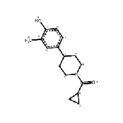 O=C(C1CC1)N1CCC(c2ccc(O)c(C(F)(F)F)c2)CC1